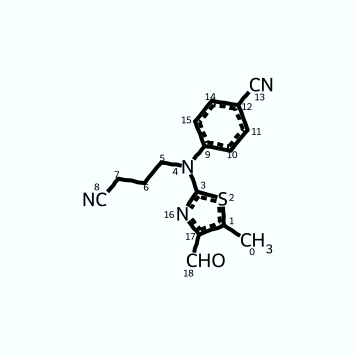 Cc1sc(N(CCCC#N)c2ccc(C#N)cc2)nc1C=O